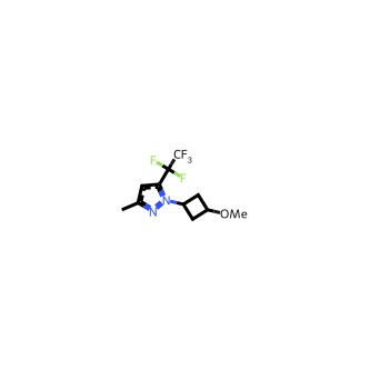 COC1CC(n2nc(C)cc2C(F)(F)C(F)(F)F)C1